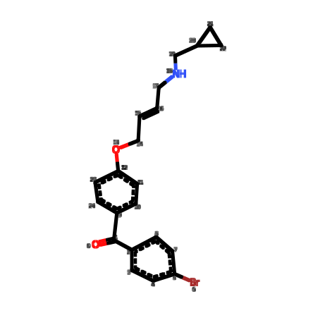 O=C(c1ccc(Br)cc1)c1ccc(OC/C=C/CNCC2CC2)cc1